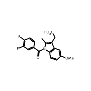 COc1ccc2c(c1)c(CC(=O)O)c(C)n2C(=O)c1ccc(F)c(F)c1